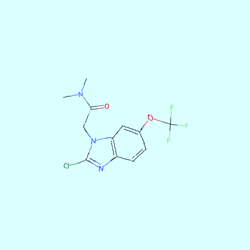 CN(C)C(=O)Cn1c(Cl)nc2ccc(OC(F)(F)F)cc21